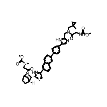 COC(=O)NCC(=O)N(Cc1ncc(-c2ccc(-c3ccc4cc(-c5cnc([C@@H]6[C@H]7CCC(C7)N6C(=O)CNC(=O)OC)[nH]5)ccc4c3)cc2)[nH]1)CC1(C)CC1